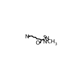 Cc1nsc(C(C=O)CCCCCC#N)n1